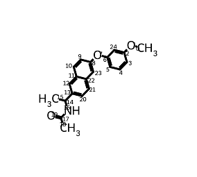 COc1cccc(Oc2ccc3cc(C(C)NC(C)=O)ccc3c2)c1